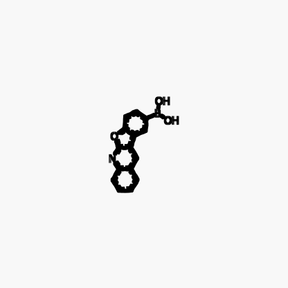 OB(O)c1ccc2oc3nc4ccccc4cc3c2c1